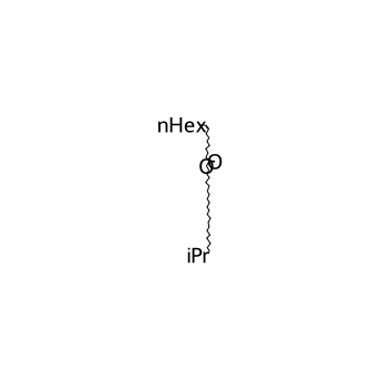 CCCCCC/C=C\CCCCCCCC(=O)OCCCCCCCCCCCCCCCCCCCCCC(C)C